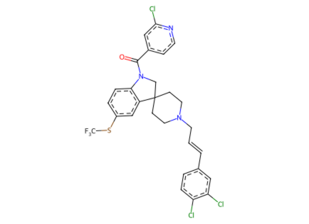 O=C(c1ccnc(Cl)c1)N1CC2(CCN(C/C=C/c3ccc(Cl)c(Cl)c3)CC2)c2cc(SC(F)(F)F)ccc21